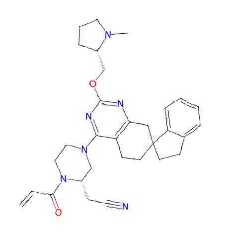 C=CC(=O)N1CCN(c2nc(OC[C@@H]3CCCN3C)nc3c2CCC2(CCc4ccccc42)C3)C[C@@H]1CC#N